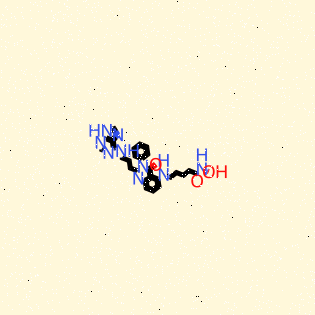 O=C(CCCCNc1cccc2nc(CCCNc3ncnc4[nH]cnc34)n(-c3ccccc3)c(=O)c12)NO